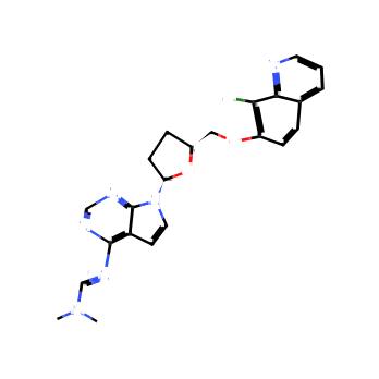 CN(C)/C=N/c1ncnc2c1ccn2[C@H]1CC[C@@H](COc2ccc3cccnc3c2Cl)O1